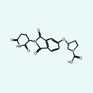 O=C1CCC(N2C(=O)c3ccc(O[C@H]4CCN(C(=O)O)C4)cc3C2=O)C(=O)N1